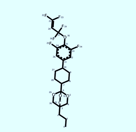 CCCC12COC(C3CCC(c4cc(F)c(OC(F)(F)C=C(F)F)c(F)c4)CC3)(OC1)OC2